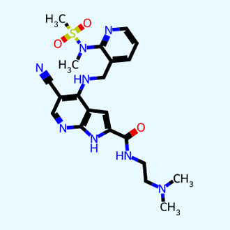 CN(C)CCNC(=O)c1cc2c(NCc3cccnc3N(C)S(C)(=O)=O)c(C#N)cnc2[nH]1